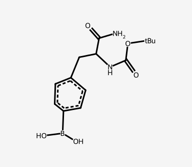 CC(C)(C)OC(=O)NC(Cc1ccc(B(O)O)cc1)C(N)=O